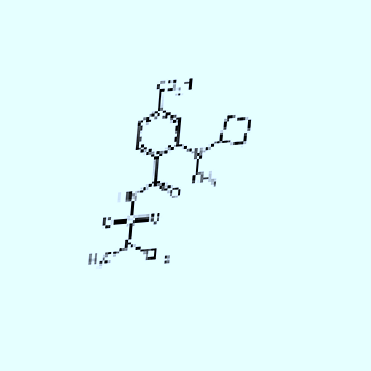 CN(c1cc(C(=O)O)ccc1C(=O)NS(=O)(=O)N(C)C)C1CCC1